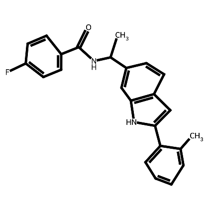 Cc1ccccc1-c1cc2ccc(C(C)NC(=O)c3ccc(F)cc3)cc2[nH]1